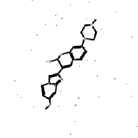 COc1ccn2cc(C3=Cc4ccc(N5CCN(C)CC5)cc4OC3O)nc2c1